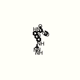 CNc1ncc(CNc2ccc3c(c2)Cc2cccc(-c4cc(N5CCOCC5)cc(=O)[nH]4)c2O3)cn1